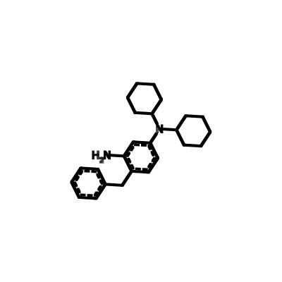 Nc1cc(N(C2CCCCC2)C2CCCCC2)ccc1Cc1ccccc1